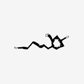 Clc1ccc(CCC=CCCBr)c(Cl)c1